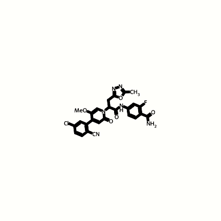 COc1cn(C(Cc2nnc(C)o2)C(=O)Nc2ccc(C(N)=O)c(F)c2)c(=O)cc1-c1cc(Cl)ccc1C#N